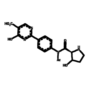 CC(=O)N(C(=O)[C@H]1NCCC1O)c1ccc(-c2ncc(C(=O)O)c(O)n2)cc1